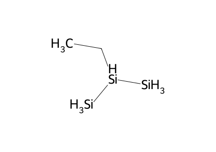 CC[SiH]([SiH3])[SiH3]